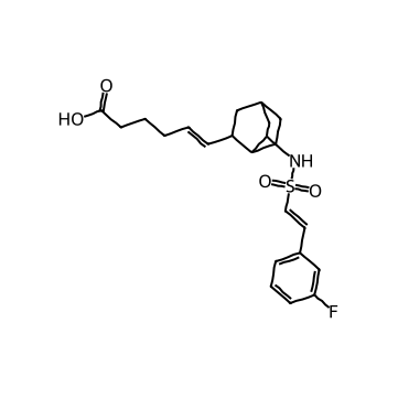 O=C(O)CCC/C=C/C1CC2CCC1C(NS(=O)(=O)/C=C/c1cccc(F)c1)C2